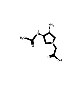 CC(=O)N[C@@H]1CN(CC(=O)O)C[C@H]1N